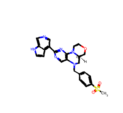 CS(=O)(=O)c1ccc(CN2C[C@@H]3COCCN3c3nc(-c4cncc5[nH]ccc45)ncc32)cc1